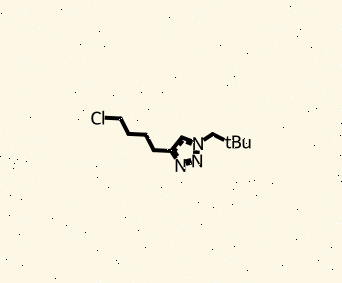 CC(C)(C)Cn1cc(CCCCCl)nn1